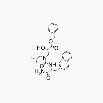 CC(C)CN(CC(O)C(=O)OCc1ccccc1)C(=O)N[C@@H](Cc1ccc2ccccc2c1)C(N)=O